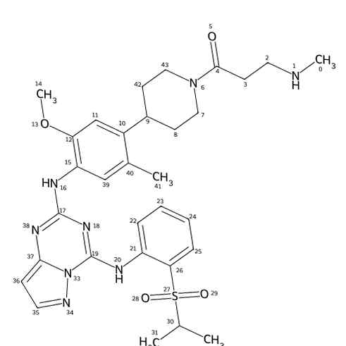 CNCCC(=O)N1CCC(c2cc(OC)c(Nc3nc(Nc4ccccc4S(=O)(=O)C(C)C)n4nccc4n3)cc2C)CC1